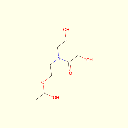 CC(O)OCCN(CCO)C(=O)CO